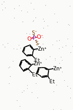 CCc1cccc[c]1[Zn+].CCc1cccc[c]1[Zn+].CCc1cccc[c]1[Zn+].[O-]P([O-])(=S)[S-]